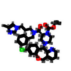 Cc1cn(CCCN(Cc2ccccc2)C(=O)[C@H]2CN([C@H]3c4ccc(Cl)cc4OCc4cccnc43)CCN2C(=O)OC(C)(C)C)cn1